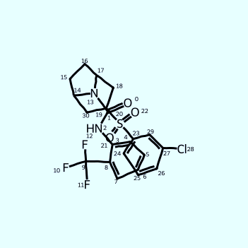 O=C(Nc1ccccc1C(F)(F)F)N1C2CCC1CC(S(=O)(=O)c1cccc(Cl)c1)C2